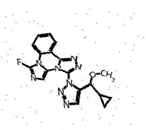 COC(c1cnnn1-c1nnc2c3ccccc3n3c(F)ncc3n12)C1CC1